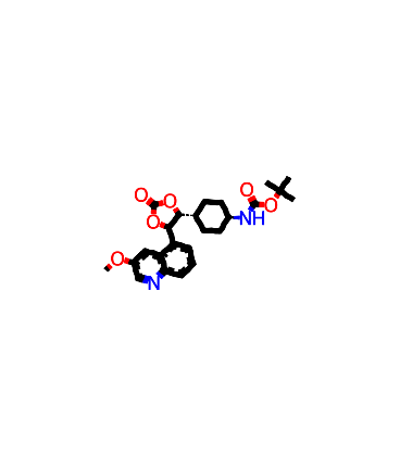 COc1cnc2cccc(C3OC(=O)OC3[C@H]3CC[C@H](NC(=O)OC(C)(C)C)CC3)c2c1